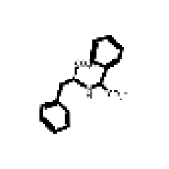 O=C(O)C(N[C@@H](Cc1ccccc1)C(=O)O)c1ccccc1